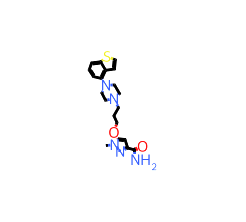 Cn1nc(C(N)=O)cc1OCCCN1CCN(c2cccc3sccc23)CC1